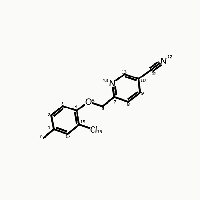 Cc1ccc(OCc2ccc(C#N)cn2)c(Cl)c1